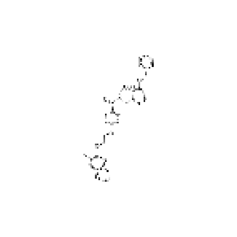 Cc1nc2ccccc2nc1OCCOc1ccc(C(=O)N(CC(=O)O)Cc2cccc(OCc3ccccc3)c2)cc1